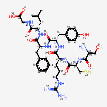 CC(C)C[C@H](NC(=O)[C@H](Cc1ccccc1)NC(=O)[C@H](Cc1ccc(O)cc1)NC(=O)[C@H](CCCNC(=N)N)NC(=O)[C@H](CS)NC(=O)[C@@H](N)CO)C(=O)NCC(=O)O